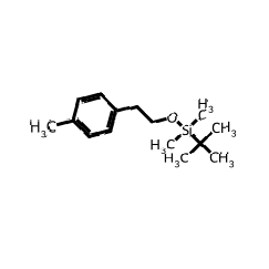 Cc1ccc(CCO[Si](C)(C)C(C)(C)C)cc1